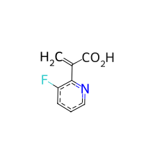 C=C(C(=O)O)c1ncccc1F